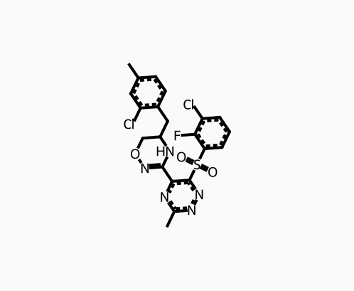 Cc1ccc(CC2CON=C(c3nc(C)nnc3S(=O)(=O)c3cccc(Cl)c3F)N2)c(Cl)c1